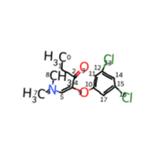 CCC(=O)/C(=C\N(C)C)Oc1cc(Cl)cc(Cl)c1